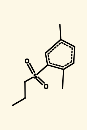 CCCS(=O)(=O)c1cc(C)ccc1C